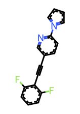 Fc1cccc(F)c1C#Cc1ccc(-n2cccc2)nc1